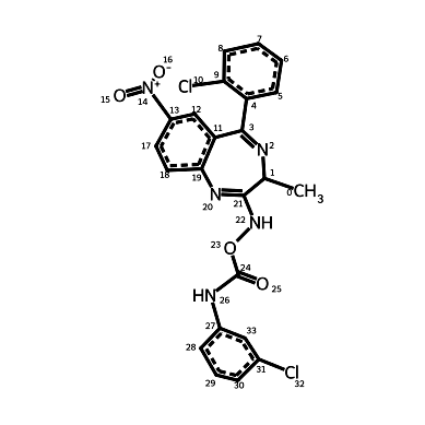 CC1N=C(c2ccccc2Cl)c2cc([N+](=O)[O-])ccc2N=C1NOC(=O)Nc1cccc(Cl)c1